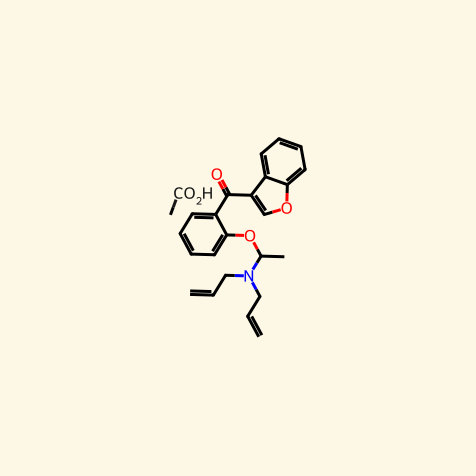 C=CCN(CC=C)C(C)Oc1ccccc1C(=O)c1coc2ccccc12.CC(=O)O